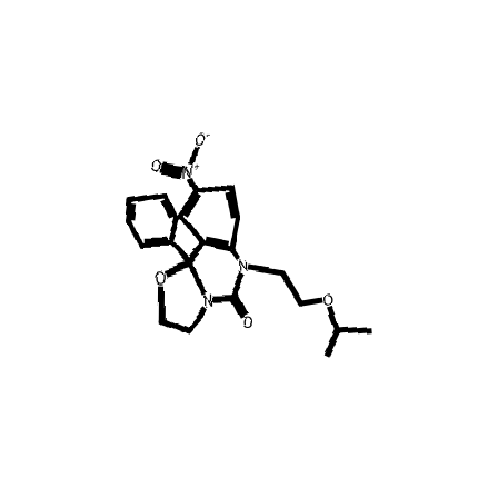 CC(C)OCCN1C(=O)N2CCOC2(c2ccccc2)c2cc([N+](=O)[O-])ccc21